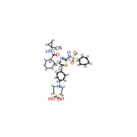 N#CC1(NC(=O)[C@@H]2CCCC[C@H]2c2nc(NS(=O)(=O)c3ccccc3)sc2-c2ccc(N3CCS(O)(O)CC3)cc2)CC1